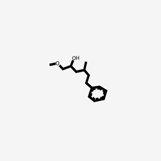 COCC(O)CC(C)CCc1ccccc1